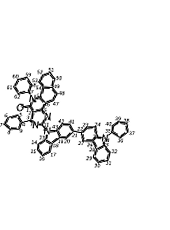 O=c1c2c(-c3ccccc3)nc(-n3c4ccccc4c4cc(-c5ccc6c(c5)c5ccccc5n6-c5ccccc5)ccc43)nc2c2ccc3ccccc3c2n1-c1ccccc1